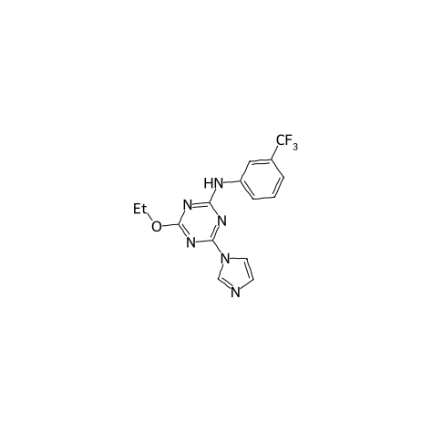 CCOc1nc(Nc2cccc(C(F)(F)F)c2)nc(-n2ccnc2)n1